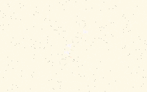 CCOCCOc1ccccc1C(=O)NC(=S)Nc1ccc(S(=O)(=O)Nc2cc(C)cc(C)c2)cc1